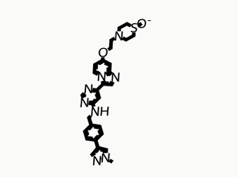 Cn1cc(-c2ccc(CNc3cc(-c4cnc5cc(OCCN6CC[S+]([O-])CC6)ccn45)ncn3)cc2)cn1